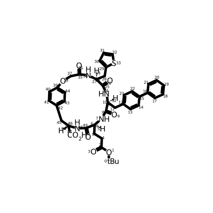 CC(C)(C)OC(=O)CC[C@@H]1NC(=O)[C@H](Cc2ccc(-c3ccccc3)cc2)NC(=O)[C@H](Cc2cccs2)NC(=O)COc2ccc(cc2)C[C@@H](C(=O)O)NC1=O